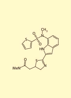 CNC(=O)CC1CN=C(c2cc3cccc(N(C)S(=O)(=O)c4cccs4)c3[nH]2)S1